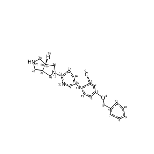 O=c1cc(OCc2ccccc2)ccn1-c1ccc(N2CC3CNC[C@@H]3C2)nc1